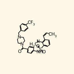 C=Nc1c(/C=C\C)cccc1S(=O)(=O)Nc1ccc(C(=O)N2CCN(Cc3ccc(C(F)(F)F)cc3)CC2)cc1